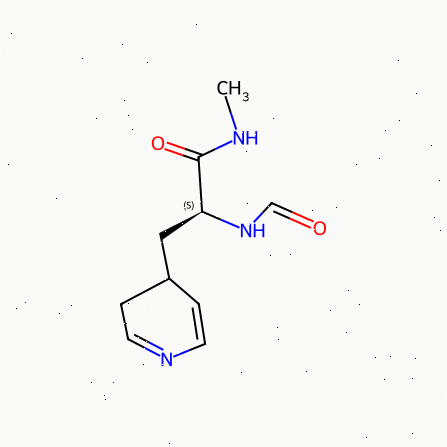 CNC(=O)[C@H](CC1C=CN=CC1)NC=O